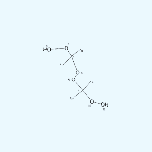 CC(C)(OO)OOC(C)(C)OO